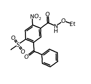 CCONC(=O)c1cc(C(=O)c2ccccc2)c(S(C)(=O)=O)cc1[N+](=O)[O-]